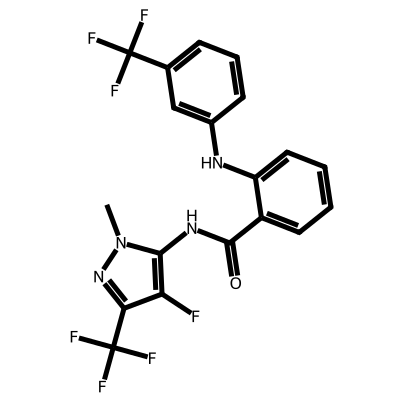 Cn1nc(C(F)(F)F)c(F)c1NC(=O)c1ccccc1Nc1cccc(C(F)(F)F)c1